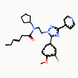 CCC=CCC(=O)N(CCn1nc(-c2ccncc2)nc1-c1ccc(OC)c(Cl)c1)C1CCCC1